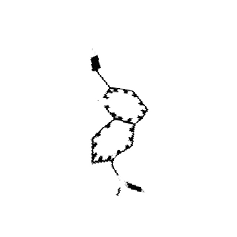 N#Cc1ccc2cc([N+](=O)[O-])ccc2n1